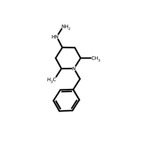 CC1CC(NN)CC(C)N1Cc1ccccc1